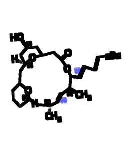 CCCCC=C/C=C/C1OC(=O)CC2C[C@H](O)C[C@H](CC3CCC[C@H](C[C@@H](C)/C=C/[C@@H]1C)O3)O2